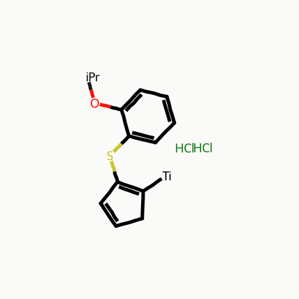 CC(C)Oc1ccccc1SC1=[C]([Ti])CC=C1.Cl.Cl